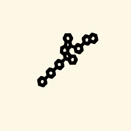 c1ccc(-c2ccc(-c3ccc(-n4c5ccccc5c5c4ccc4c6ccccc6n(-c6cccc(-c7ccc8ccccc8c7)c6)c45)cc3)cc2)cc1